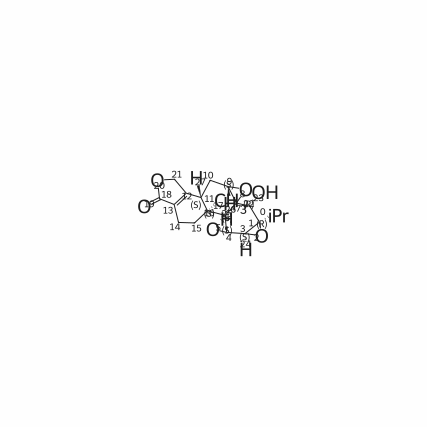 CC(C)[C@]12O[C@H]1[C@@H]1O[C@]13C1(O[C@H]1C[C@H]1C4=C(CC[C@@]13C)C(=O)OC4)[C@@H]2O